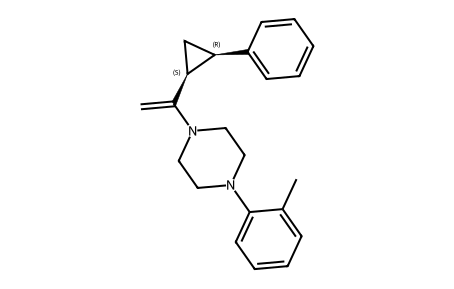 C=C([C@H]1C[C@H]1c1ccccc1)N1CCN(c2ccccc2C)CC1